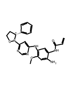 C=CC(=O)Nc1cc(Nc2cc(N3OCC[C@@H]3c3ccccc3)ncn2)c(OC)cc1N